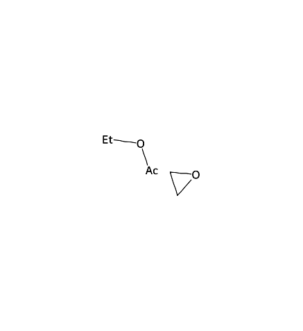 C1CO1.CCOC(C)=O